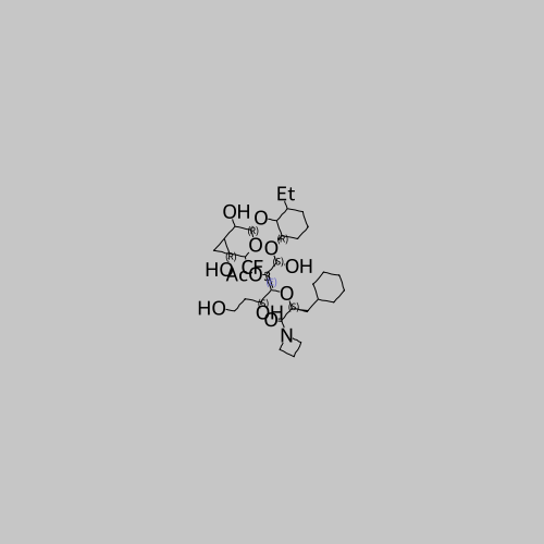 CCC1CCC[C@@H](O[C@H](O)/C(OC(C)=O)=C(\O[C@@H](CC2CCCCC2)C(=O)N2CCC2)[C@@H](O)CCO)C1O[C@@H]1OC(C(F)(F)F)[C@@]2(O)CC2C1O